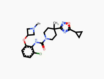 CC(C)N1CC(Oc2cccc(Cl)c2NC(=O)N2CCC(C)(c3noc(C4CC4)n3)CC2)C1